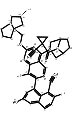 C#Cc1c(F)ccc2cc(O)cc(-c3ncc4c(N5CC6CCC(C5)N6C(=O)C5(C#N)CC5)nc(OC[C@@]56CCCN5C[C@H](F)C6)nc4c3F)c12